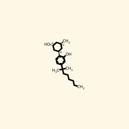 CCCCCCC(C)(C)c1ccc([C@@H]2C[C@H](C)C[C@@H](O)C2)c(O)c1